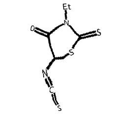 CCN1C(=O)C(N=C=S)SC1=S